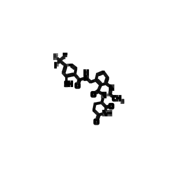 Cc1nc2cccc(CNC(=O)c3ccc(C(F)(F)F)cc3S)c2c(=O)n1C1CCC(=O)NC1=O